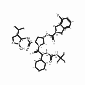 CC(C)C1COB(O)C1NC(=O)[C@@H]1C[C@@H](OC(=O)N2Cc3cccc(F)c3C2)CN1C(=O)[C@@H](NC(=O)NC(C)(C)C)C1CCCCC1